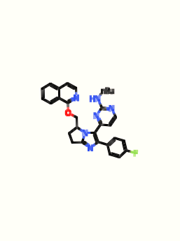 CCCCNc1nccc(-c2c(-c3ccc(F)cc3)nc3n2C(COc2nccc4ccccc24)CC3)n1